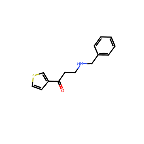 O=C(CCNCc1ccccc1)c1ccsc1